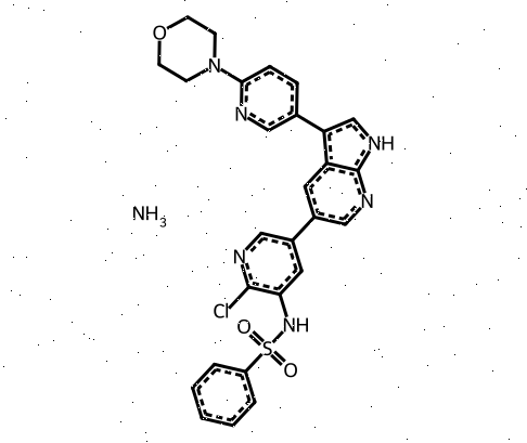 N.O=S(=O)(Nc1cc(-c2cnc3[nH]cc(-c4ccc(N5CCOCC5)nc4)c3c2)cnc1Cl)c1ccccc1